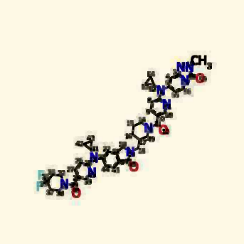 Cn1nc2cc(N(c3ccc(C(=O)N4CCCC(CN5Cc6cc(N(c7ccc(C(=O)N8CCC(F)(F)CC8)cn7)C7CC7)ccc6C5=O)C4)cn3)C3CC3)ccn2c1=O